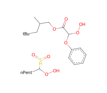 CC(COC(=O)C(OO)Oc1ccccc1)CC(C)(C)C.CCCCCC(OO)[SH](=O)=O